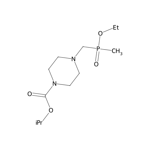 CCOP(C)(=O)CN1CCN(C(=O)OC(C)C)CC1